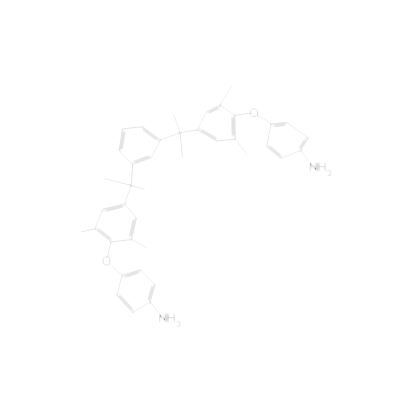 Cc1cc(C(C)(C)c2cccc(C(C)(C)c3cc(C)c(Oc4ccc(N)cc4)c(C)c3)c2)cc(C)c1Oc1ccc(N)cc1